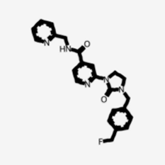 O=C(NCc1ccccn1)c1ccnc(N2CCN(Cc3ccc(CF)cc3)C2=O)c1